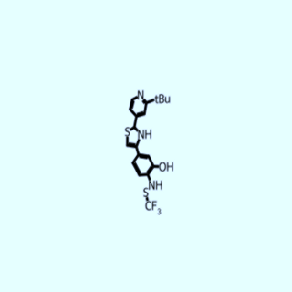 CC(C)(C)c1cc(C2NC(c3ccc(NSC(F)(F)F)c(O)c3)=CS2)ccn1